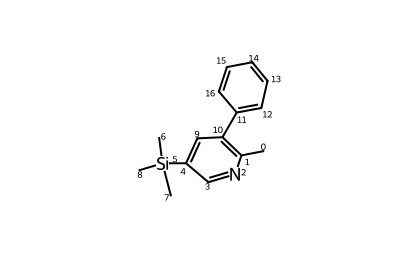 Cc1ncc([Si](C)(C)C)cc1-c1ccccc1